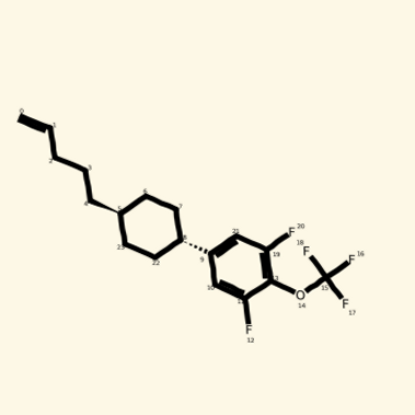 C=CCCC[C@H]1CC[C@H](c2cc(F)c(OC(F)(F)F)c(F)c2)CC1